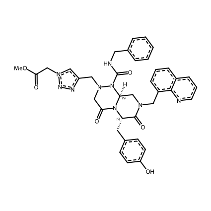 COC(=O)Cn1cc(CN2CC(=O)N3[C@@H](Cc4ccc(O)cc4)C(=O)N(Cc4cccc5cccnc45)C[C@@H]3N2C(=O)NCc2ccccc2)nn1